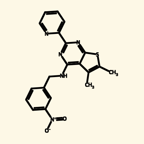 Cc1sc2nc(-c3ccccn3)nc(NCc3cccc([N+](=O)[O-])c3)c2c1C